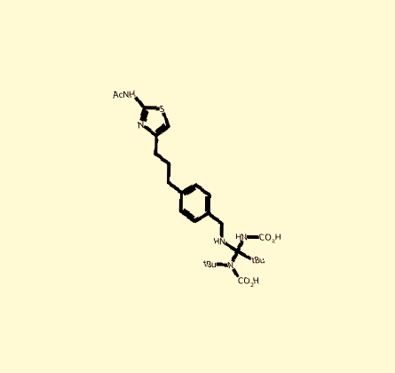 CC(=O)Nc1nc(CCCc2ccc(CNC(NC(=O)O)(N(C(=O)O)C(C)(C)C)C(C)(C)C)cc2)cs1